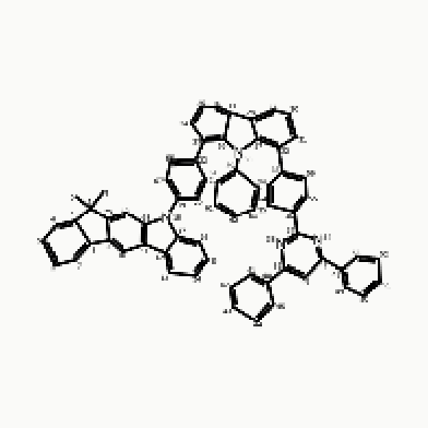 CC1(C)c2ccccc2-c2cc3c4ccccc4n(-c4ccc(-c5cccc6c7cccc(-c8ccc(-c9nc(-c%10ccccc%10)cc(-c%10ccccc%10)n9)cc8)c7n(-c7ccccc7)c56)cc4)c3cc21